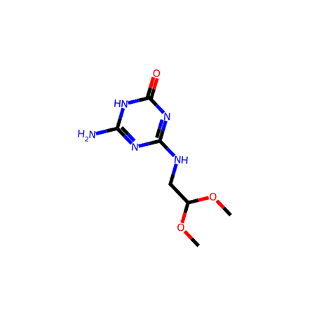 COC(CNc1nc(N)[nH]c(=O)n1)OC